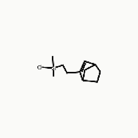 C[Si](C)(Cl)CCC1=CC2CCC1C2